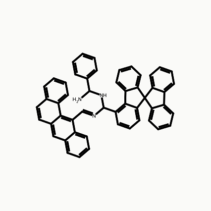 NC(NC(/N=C/c1c2ccccc2cc2ccc3ccccc3c12)c1cccc2c1-c1ccccc1C21c2ccccc2-c2ccccc21)c1ccccc1